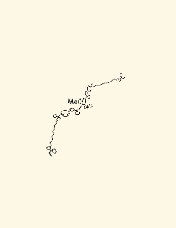 C=CC(=O)OCCCCCCCCCCOC(=O)C1CCC(OC(=O)C#Cc2c(OC)cc(C(=O)Oc3ccc(OCCCCCCCCOC(=O)C=C)cc3)cc2OC)CO1